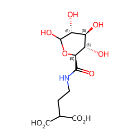 O=C(O)C(CCNC(=O)[C@H]1OC(O)[C@H](O)[C@@H](O)[C@@H]1O)C(=O)O